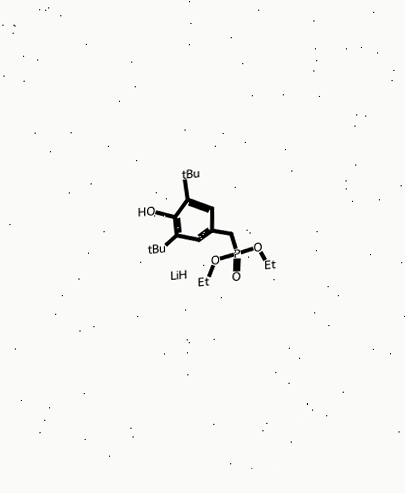 CCOP(=O)(Cc1cc(C(C)(C)C)c(O)c(C(C)(C)C)c1)OCC.[LiH]